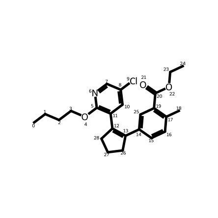 CCCCOc1ncc(Cl)cc1C1=C(c2ccc(C)c(C(=O)OCC)c2)CCC1